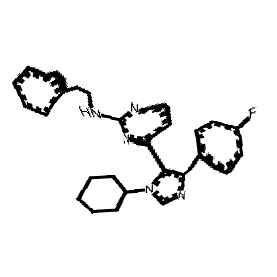 Fc1ccc(-c2ncn(C3CCCCC3)c2-c2ccnc(NCc3ccccc3)n2)cc1